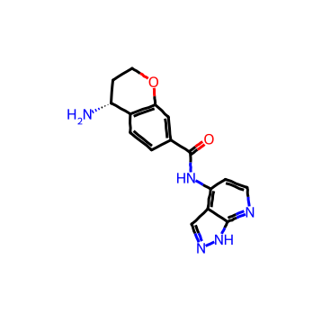 N[C@@H]1CCOc2cc(C(=O)Nc3ccnc4[nH]ncc34)ccc21